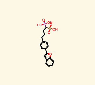 O=P(O)(O)C(CCCc1ccc(-c2cc3ccccc3o2)cc1)S(=O)(=O)O